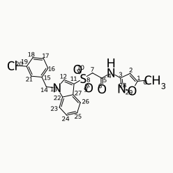 Cc1cc(NC(=O)CS(=O)(=O)c2cn(Cc3cccc(Cl)c3)c3ccccc23)no1